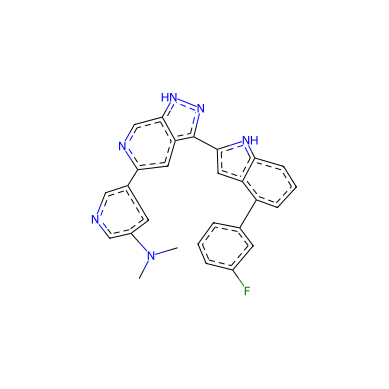 CN(C)c1cncc(-c2cc3c(-c4cc5c(-c6cccc(F)c6)cccc5[nH]4)n[nH]c3cn2)c1